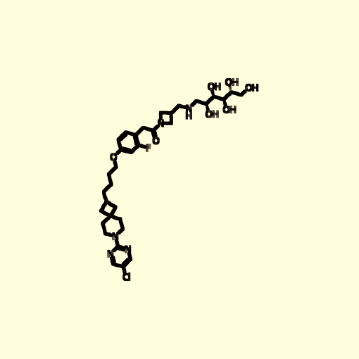 O=C(Cc1ccc(OCCCCC2CC3(CCN(c4ncc(Cl)cn4)CC3)C2)cc1F)N1CC(CNC[C@H](O)[C@@H](O)[C@H](O)[C@H](O)CO)C1